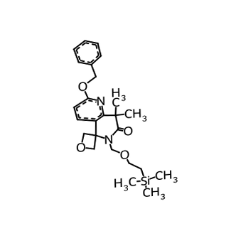 CC1(C)C(=O)N(COCC[Si](C)(C)C)C2(COC2)c2ccc(OCc3ccccc3)nc21